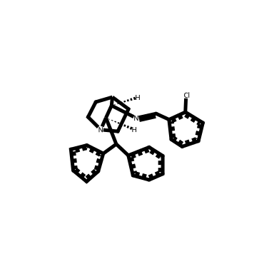 Clc1ccccc1C=N[C@@H]1C2CCN(CC2)[C@@H]1C(c1ccccc1)c1ccccc1